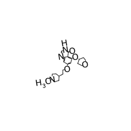 CN1CCC(CCOc2cc(OC3CCOCC3)c3c(=O)[nH]cnc3c2)CC1